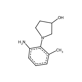 Cc1cccc(N)c1N1CCC(O)C1